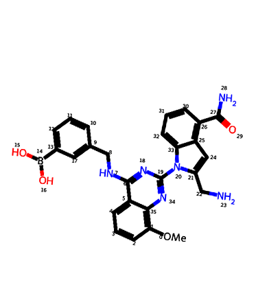 COc1cccc2c(NCc3cccc(B(O)O)c3)nc(-n3c(CN)cc4c(C(N)=O)cccc43)nc12